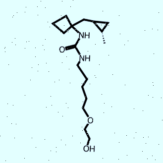 C[C@H]1CC1CC1(NC(=O)NCCCCCOCCO)CCC1